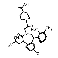 Cc1cccc(C2CN(CC(=O)N3CCC(C(=O)O)CC3)C(=O)C(CC(C)C)c3ccc(Cl)cc32)c1C